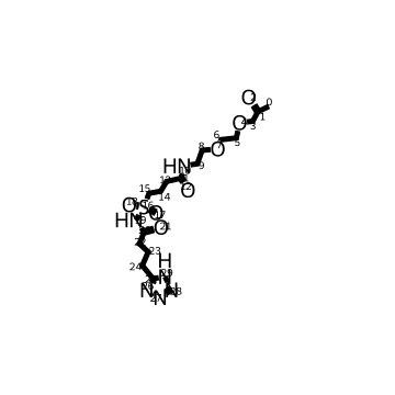 CC(=O)COCCOCCNC(=O)CCCS(=O)(=O)NC(=O)CCCc1nnn[nH]1